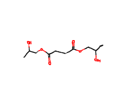 CC(O)COC(=O)CCC(=O)OCC(C)O